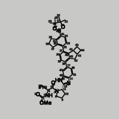 COC(=O)N[C@H](C(=O)N1CCC[C@H]1c1nc2ccc(-c3ccc(-c4ccc(B5OC(C)(C)C(C)(C)O5)c5c4CCC5)c4c3CC3CCC43)cc2[nH]1)C(C)C